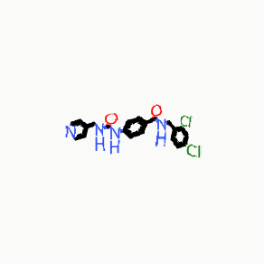 O=C(NCc1ccncc1)Nc1ccc(C(=O)NCc2ccc(Cl)cc2Cl)cc1